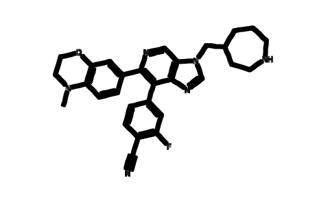 CN1CCOc2cc(-c3ncc4c(ncn4CC4CCCNCC4)c3-c3ccc(C#N)c(F)c3)ccc21